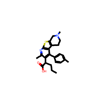 CCCC(C(=O)O)c1c(C)nc2sc3c(c2c1-c1ccc(C)cc1)CCN(C)C3